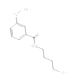 CCCCCCCCCCCCCCNC(=O)c1cccc(N[C]=O)c1